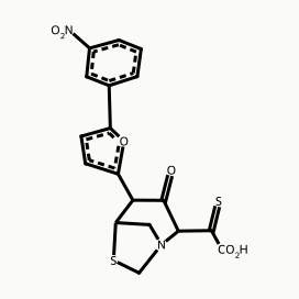 O=C(O)C(=S)C1C(=O)C(c2ccc(-c3cccc([N+](=O)[O-])c3)o2)C2CN1CS2